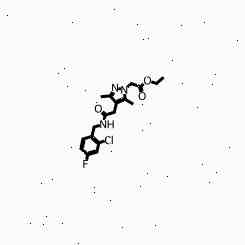 CCOC(=O)Cn1nc(C)c(CC(=O)NCc2ccc(F)cc2Cl)c1C